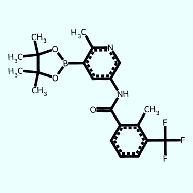 Cc1ncc(NC(=O)c2cccc(C(F)(F)F)c2C)cc1B1OC(C)(C)C(C)(C)O1